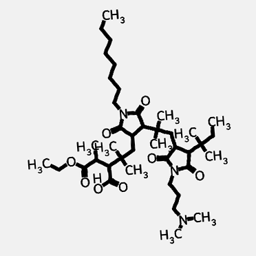 CCCCCCCCN1C(=O)C(CC(C)(C)C(C(=O)O)C(C)C(=O)OCC)C(C(C)(C)CC2C(=O)N(CCCN(C)C)C(=O)C2C(C)(C)CC)C1=O